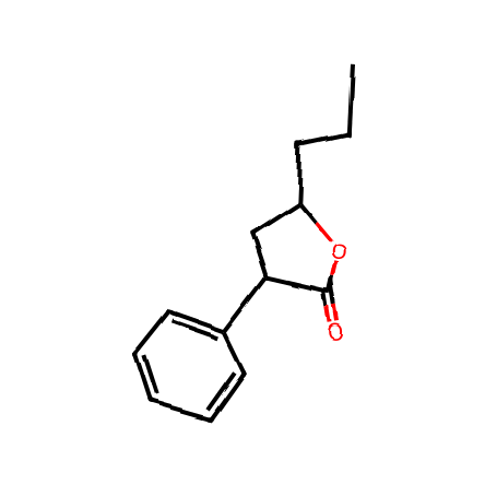 CCCC1CC(c2ccccc2)C(=O)O1